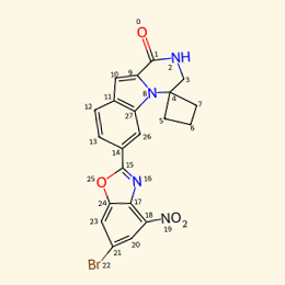 O=C1NCC2(CCC2)n2c1cc1ccc(-c3nc4c([N+](=O)[O-])cc(Br)cc4o3)cc12